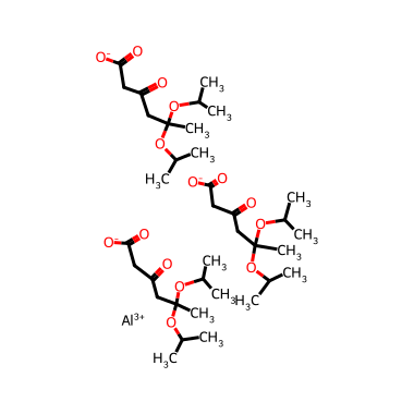 CC(C)OC(C)(CC(=O)CC(=O)[O-])OC(C)C.CC(C)OC(C)(CC(=O)CC(=O)[O-])OC(C)C.CC(C)OC(C)(CC(=O)CC(=O)[O-])OC(C)C.[Al+3]